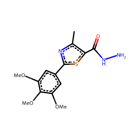 COc1cc(-c2nc(C)c(C(=O)NN)s2)cc(OC)c1OC